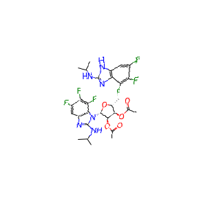 CC(=O)O[C@@H]1[C@H](OC(C)=O)[C@@H](C)O[C@H]1n1c(NC(C)C)nc2cc(F)c(F)c(F)c21.CC(C)Nc1nc2c(F)c(F)c(F)cc2[nH]1